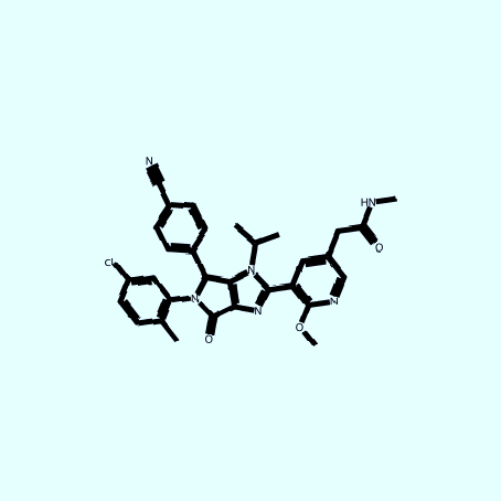 CNC(=O)Cc1cnc(OC)c(-c2nc3c(n2C(C)C)C(c2ccc(C#N)cc2)N(c2cc(Cl)ccc2C)C3=O)c1